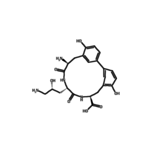 NC[C@H](O)C[C@@H]1NC(=O)[C@@H](N)Cc2cc(ccc2O)-c2ccc(O)c(c2)C[C@@H](C(=O)O)NC1=O